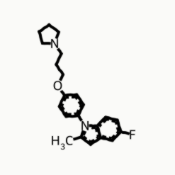 Cc1cc2cc(F)ccc2n1-c1ccc(OCCCN2CCCC2)cc1